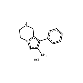 Cl.Nc1nn2c(c1-c1ccncc1)CNCC2